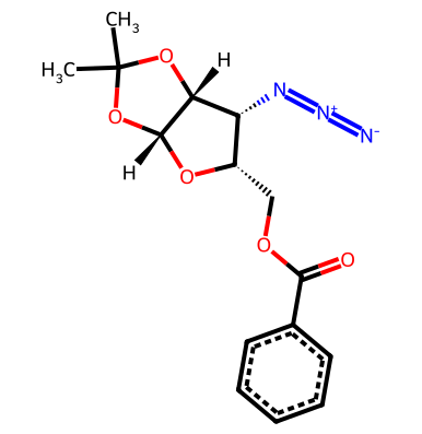 CC1(C)O[C@H]2O[C@@H](COC(=O)c3ccccc3)[C@@H](N=[N+]=[N-])[C@H]2O1